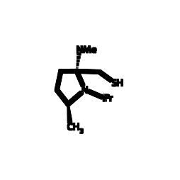 CN[C@@]1(CS)CC[C@H](C)N1C(C)C